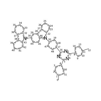 Cc1ccc(-c2nc(-c3ccc(C)cc3)nc(-c3ccc(-n4c5ccccc5c5cc(-n6c7ccccc7c7ccccc76)ccc54)cc3)n2)cc1